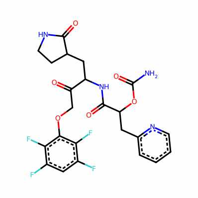 NC(=O)OC(Cc1ccccn1)C(=O)NC(CC1CCNC1=O)C(=O)COc1c(F)c(F)cc(F)c1F